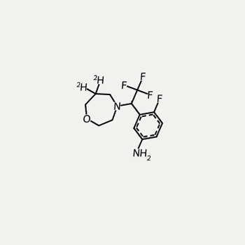 [2H]C1([2H])COCCN([C](c2cc(N)ccc2F)C(F)(F)F)C1